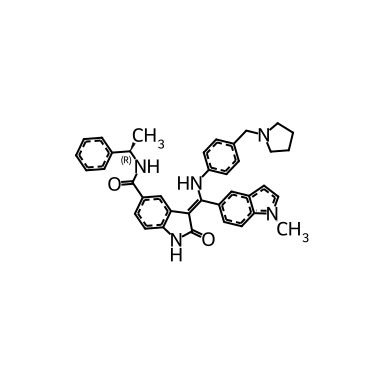 C[C@@H](NC(=O)c1ccc2c(c1)C(=C(Nc1ccc(CN3CCCC3)cc1)c1ccc3c(ccn3C)c1)C(=O)N2)c1ccccc1